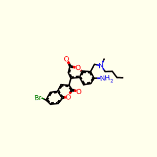 CCCCN(C)Cc1c(N)ccc2c(-c3cc4cc(Br)ccc4oc3=O)cc(=O)oc12